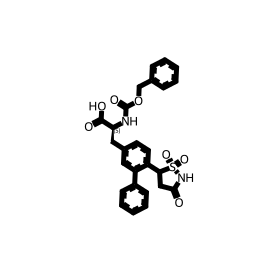 O=C1CC(c2ccc(C[C@H](NC(=O)OCc3ccccc3)C(=O)O)cc2-c2ccccc2)S(=O)(=O)N1